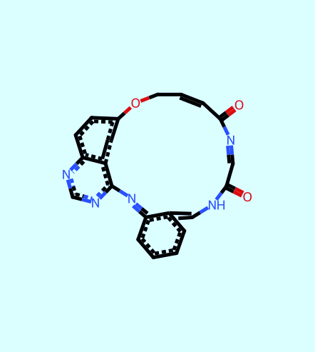 O=C1/C=C\COc2ccc3ncnc(c3c2)/N=c2\cccc\c2=C/NC(=O)/C=N\1